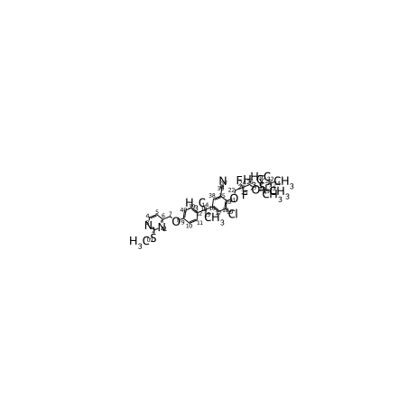 CSc1nccc(COc2ccc(C(C)(C)c3cc(Cl)c(OCC(F)(F)CO[Si](C)(C)C(C)(C)C)c(C#N)c3)cc2)n1